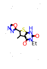 CCn1c(=O)[nH]c2c(c1=O)C(C)C(c1nnco1)S2